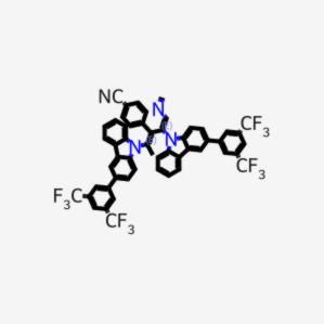 C=N/C=C(\C(=C(/C)n1c2ccccc2c2cc(-c3cc(C(F)(F)F)cc(C(F)(F)F)c3)ccc21)c1ccc(C#N)cc1)n1c2ccccc2c2cc(-c3cc(C(F)(F)F)cc(C(F)(F)F)c3)ccc21